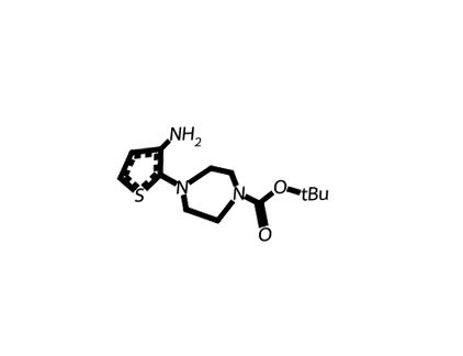 CC(C)(C)OC(=O)N1CCN(c2sccc2N)CC1